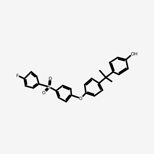 CC(C)(c1ccc(O)cc1)c1ccc(Oc2ccc(S(=O)(=O)c3ccc(F)cc3)cc2)cc1